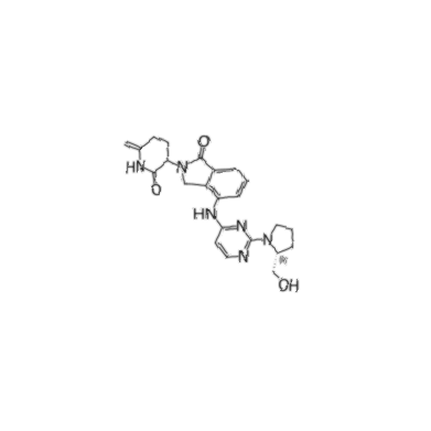 C=C1CCC(N2Cc3c(Nc4ccnc(N5CCC[C@@H]5CO)n4)cccc3C2=O)C(=O)N1